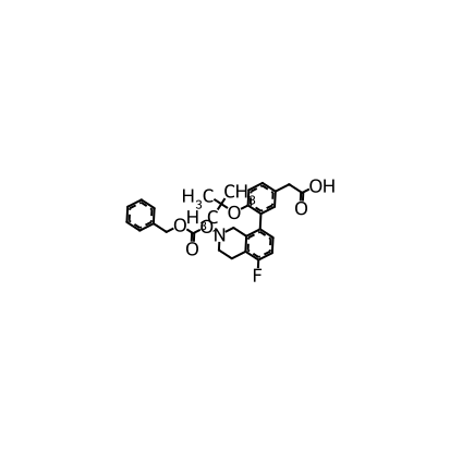 CC(C)(C)Oc1ccc(CC(=O)O)cc1-c1ccc(F)c2c1CN(OC(=O)OCc1ccccc1)CC2